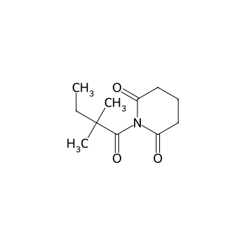 CCC(C)(C)C(=O)N1C(=O)CCCC1=O